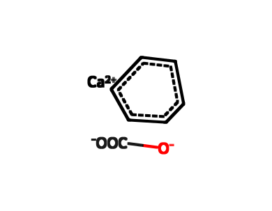 O=C([O-])[O-].[Ca+2].c1ccccc1